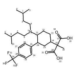 CC(C)CCN(CCC(C)C)C1CCC(C(C)(C(=O)O)C(=O)O)CC1c1ccc(C(F)(F)F)cc1